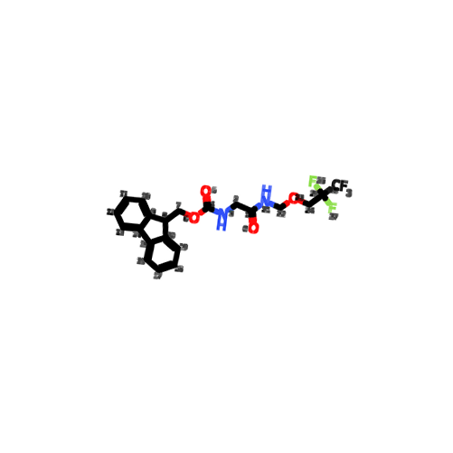 O=C(CNC(=O)OCC1c2ccccc2-c2ccccc21)NCOCC(F)(F)C(F)(F)F